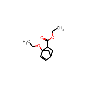 CCOC(=O)C1CC2C=CC1(OCC)C2